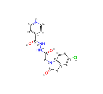 O=C(CN1C(=O)Cc2cc(Cl)ccc21)NNC(=O)c1ccncc1